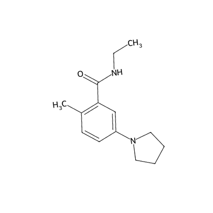 CCNC(=O)c1cc(N2CCCC2)ccc1C